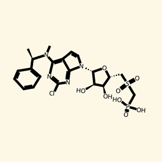 C[C@H](c1ccccc1)N(C)c1nc(Cl)nc2c1ccn2[C@@H]1O[C@H](CS(=O)(=O)CP(=O)(O)O)[C@@H](O)[C@H]1O